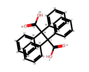 O=C(O)C(c1ccccc1)(c1ccccc1)C(C(=O)O)(c1ccccc1)c1ccccc1